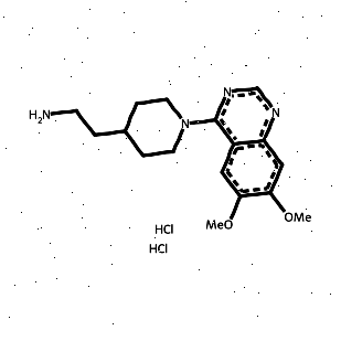 COc1cc2ncnc(N3CCC(CCN)CC3)c2cc1OC.Cl.Cl